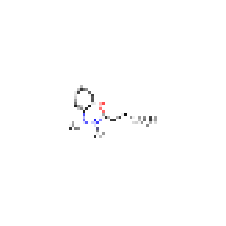 CC(=O)N(C(=O)CCC(=O)O)N(C(C)=O)c1ccccc1